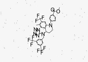 COC(=O)c1ccc(N2CCCC(N(Cc3cc(C(F)(F)F)cc(C(F)(F)F)c3)c3nnn(C)n3)c3cc(C)c(C(F)(F)F)cc32)cc1